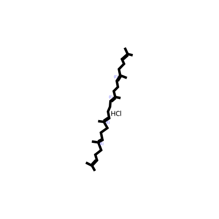 CC(C)=CCC/C(C)=C/CC/C(C)=C/CC/C=C(\C)CC/C=C(\C)CCC=C(C)C.Cl